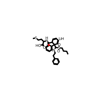 CCCCS(=O)(=O)C(NCCc1ccccc1)C1(c2ccccc2C)C=CC=CC1C(=O)NC(CCSC)C(=O)O.[LiH]